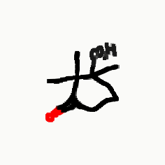 CC1(C)C(=O)CCC1(C)C(=O)O